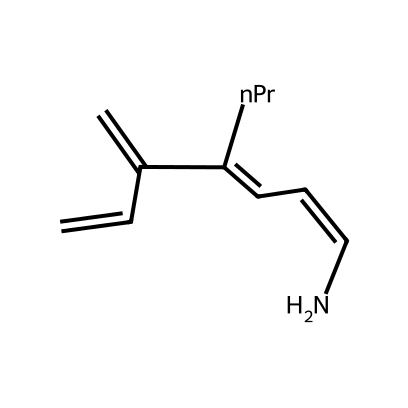 C=CC(=C)/C(=C/C=C\N)CCC